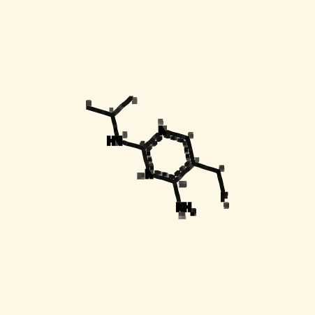 CC(C)Nc1ncc(CF)c(N)n1